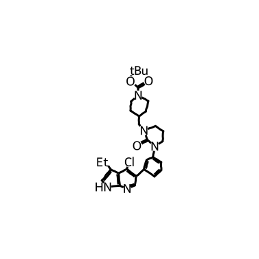 CCc1c[nH]c2ncc(-c3cccc(N4CCCN(CC5CCN(C(=O)OC(C)(C)C)CC5)C4=O)c3)c(Cl)c12